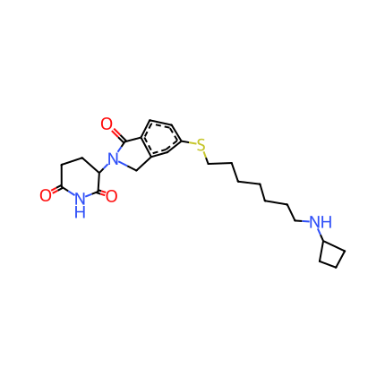 O=C1CCC(N2Cc3cc(SCCCCCCCNC4CCC4)ccc3C2=O)C(=O)N1